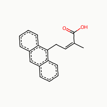 CC(=CCc1c2ccccc2cc2ccccc12)C(=O)O